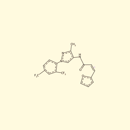 Cc1nn(-c2ccc(C(F)(F)F)cc2C(F)(F)F)cc1NC(=O)/C=C\c1ccco1